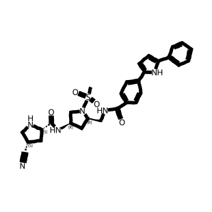 CS(=O)(=O)N1C[C@H](NC(=O)[C@@H]2C[C@H](C#N)CN2)C[C@@H]1CNC(=O)c1ccc(-c2ccc(-c3ccccc3)[nH]2)cc1